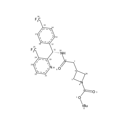 CC(C)(C)OC(=O)N1CC(CC(=O)N[C@@H](c2ccc(C(F)(F)F)cc2)c2ncccc2C(F)(F)F)C1